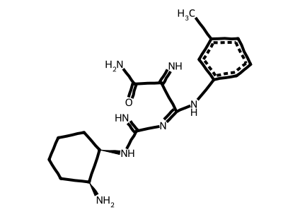 Cc1cccc(N/C(=N/C(=N)N[C@@H]2CCCC[C@@H]2N)C(=N)C(N)=O)c1